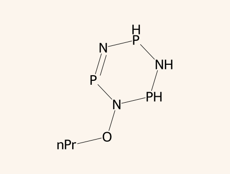 CCCOn1pn[pH][nH][pH]1